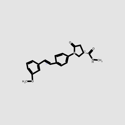 CNC(=O)[C@H]1CC(=O)N(c2ccc(/C=C/c3cccc(OC)c3)cc2)C1